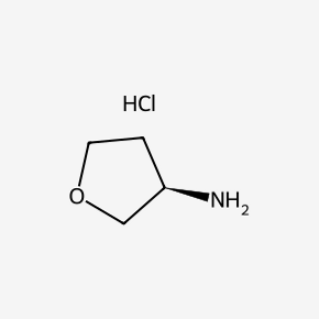 Cl.N[C@@H]1CCOC1